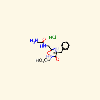 Cl.NCC(=O)NCC(=O)N[C@@H](Cc1ccccc1)C(=O)NCC(=O)O